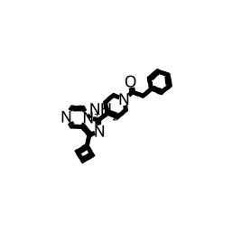 N[N+]12C=CN=CC1=C(C1=CC=C1)N=C2C1=CCN(C(=O)Cc2ccccc2)CC1